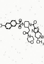 CC1Cc2nc(C(=O)N3CCN(S(=O)(=O)c4ccc5cc(Cl)ccc5c4)CC3CC(=O)N3CCOCC3)sc2CN1